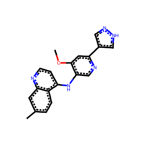 COc1cc(-c2cn[nH]c2)ncc1Nc1ccnc2cc(C)ccc12